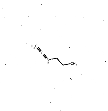 C=C=[SiH]CCC